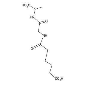 CC(NC(=O)CNC(=O)CCCCC(=O)O)C(=O)O